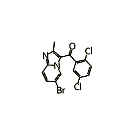 Cc1nc2ccc(Br)cn2c1C(=O)c1cc(Cl)ccc1Cl